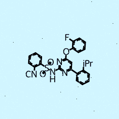 CC(C)c1ccccc1-c1cc(Oc2ccccc2F)nc(NS(=O)(=O)c2ccccc2C#N)n1